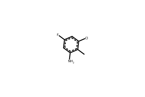 Cc1c(N)cc(F)cc1Cl